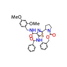 COc1ccc(CNC(=O)c2nc(C3CCCN3C(=O)OCc3ccccc3)sc2NC(=O)c2ccccc2)c(OC)c1